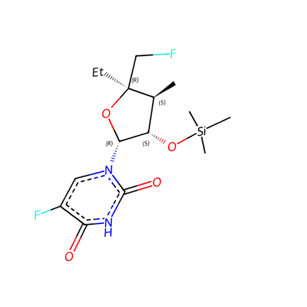 CC[C@@]1(CF)O[C@@H](n2cc(F)c(=O)[nH]c2=O)[C@@H](O[Si](C)(C)C)[C@@H]1C